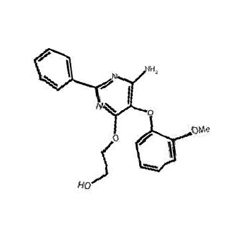 COc1ccccc1Oc1c(N)nc(-c2ccccc2)nc1OCCO